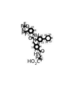 O=C(NCC(F)(F)C(=O)O)c1ccc(CN(C(=O)Nc2ccc3c(c2)C(F)(F)OC(F)(F)O3)c2ccc(C3CCCCC3)cc2)cc1